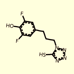 Oc1c(F)cc(CCCn2nnnc2S)cc1F